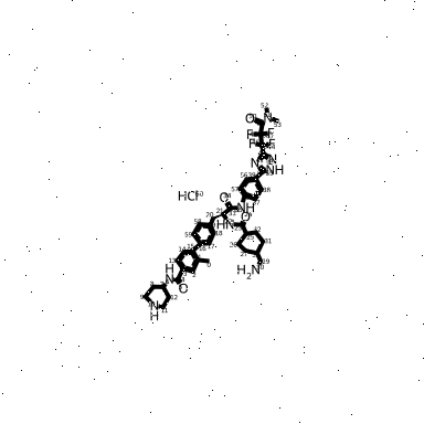 Cc1cc(C(=O)NC2CCNCC2)ccc1-c1ccc(C[C@H](NC(=O)C2CCC(CN)CC2)C(=O)Nc2ccc(-c3nc(C(F)(F)C(F)(F)C(=O)N(C)C)n[nH]3)cc2)cc1.Cl